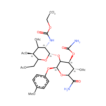 COc1ccc(O[C@@H]2OC(C(N)=O)[C@@H](OC(C)=O)[C@H](OC(N)=O)C2O[C@@H]2OC(COC(C)=O)[C@@H](OC(C)=O)C(OC(C)=O)[C@@H]2NC(=O)OCC(Cl)(Cl)Cl)cc1